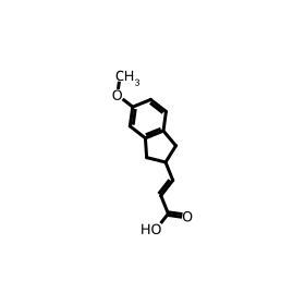 COc1ccc2c(c1)CC(/C=C/C(=O)O)C2